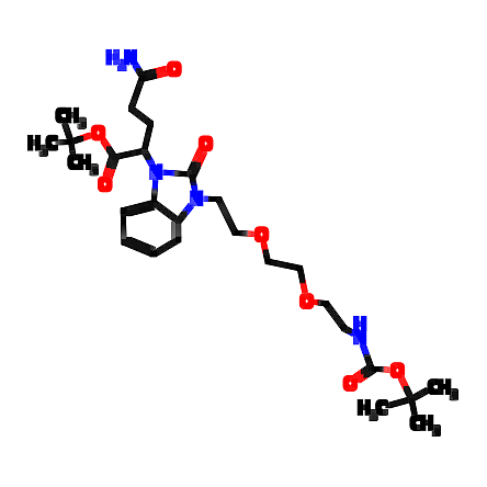 CC(C)(C)OC(=O)NCCOCCOCCn1c(=O)n(C(CCC(N)=O)C(=O)OC(C)(C)C)c2ccccc21